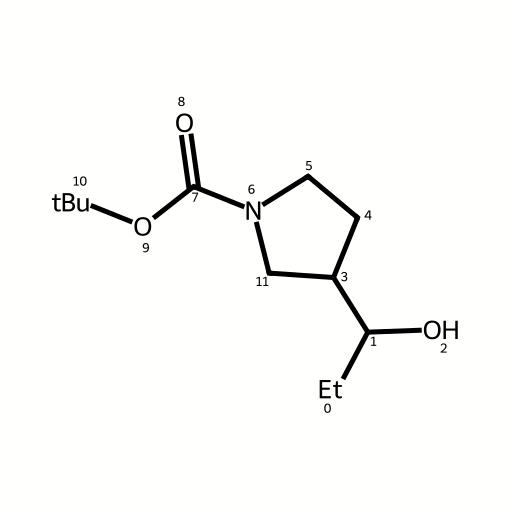 CCC(O)C1CCN(C(=O)OC(C)(C)C)C1